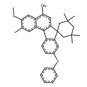 CSc1cc2c(O)cc3c(c2cc1C)-c1ccc(Sc2ccccc2)cc1C31CC(C)(C)CC(C)(C)C1